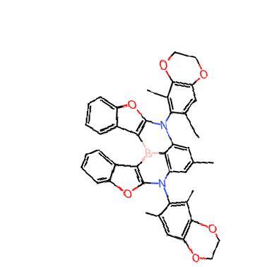 Cc1cc2c3c(c1)N(c1c(C)cc4c(c1C)OCCO4)c1oc4ccccc4c1B3c1c(oc3ccccc13)N2c1c(C)cc2c(c1C)OCCO2